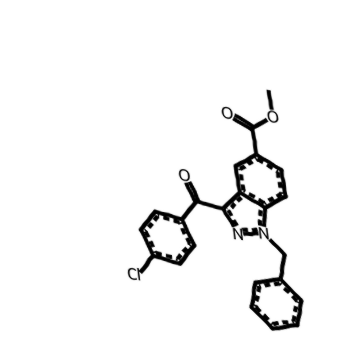 COC(=O)c1ccc2c(c1)c(C(=O)c1ccc(Cl)cc1)nn2Cc1ccccc1